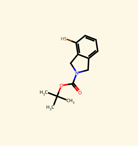 CC(C)(C)OC(=O)N1Cc2cccc(S)c2C1